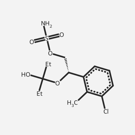 CCC(O)(CC)O[C@H](COS(N)(=O)=O)c1cccc(Cl)c1C